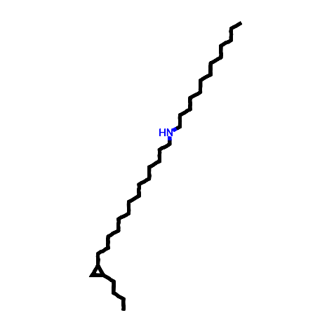 CCCCCCCCCCCCCNCCCCCCCCCCCCCCC1CC1CCCC